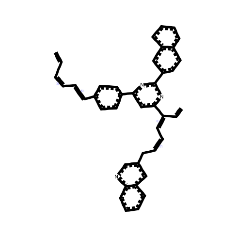 C=C/C=C\C=C\c1ccc(-c2cc(/C(C=C)=C/C=C\Cc3cnc4ccccc4c3)nc(-c3ccc4ccccc4c3)n2)cc1